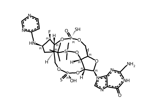 CC(C)(C)[Si](C)(C)O[C@H]1[C@H]2O[P@](O)(=S)OC[C@H]3C[C@@H](Nc4ccncn4)[C@@H](F)[C@@H]3O[P@](=O)(S)OC[C@H]1O[C@H]2n1cnc2c(=O)[nH]c(N)nc21